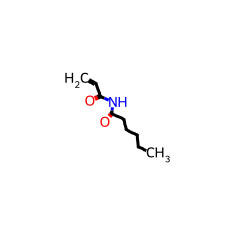 C=CC(=O)NC(=O)CCCCC